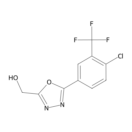 OCc1nnc(-c2ccc(Cl)c(C(F)(F)F)c2)o1